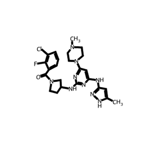 Cc1cc(Nc2cc(N3CCN(C)CC3)nc(NC3CCN(C(=O)c4cccc(Cl)c4F)C3)n2)n[nH]1